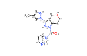 O=C(N1CCN2CCC1CC2)n1nc(-n2cc(C(F)(F)F)cn2)c2c1CCOC2